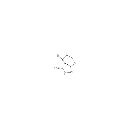 O=COCl.OC1CCCCC1